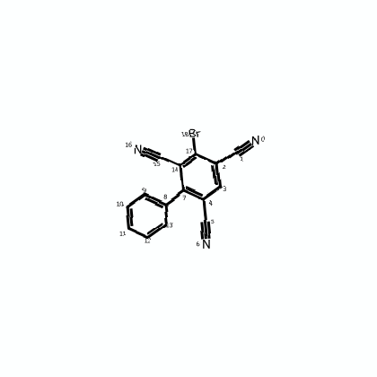 N#Cc1cc(C#N)c(-c2ccccc2)c(C#N)c1Br